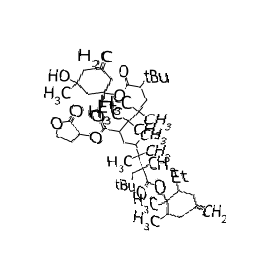 C=C1CC(C)C(C)(OC(=O)C(C)(CC(C)(C)C)C(C)(C)C(C)CC(C(=O)OC2CCOC2=O)C(C)(C)C(C)(C)CC(C(=O)OC2(CC)CC(=C)CC(C)(O)C2)C(C)(C)C)C(CC)C1